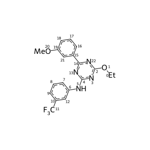 CCOc1nc(Nc2cccc(C(F)(F)F)c2)nc(-c2cccc(OC)c2)n1